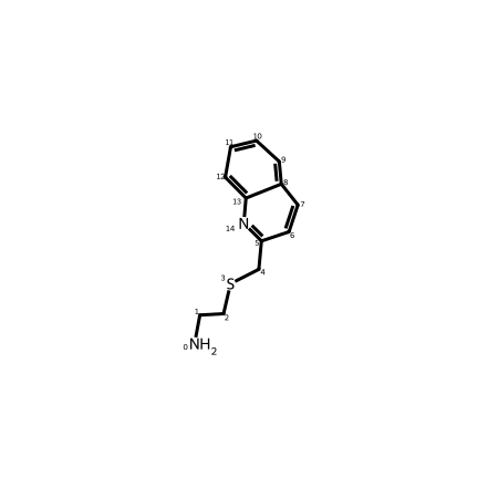 NCCSCc1ccc2ccccc2n1